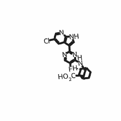 O=C(O)C1C2CCC(CC2)[C@@H]1Nc1nc(-c2c[nH]c3ncc(Cl)cc23)ncc1F